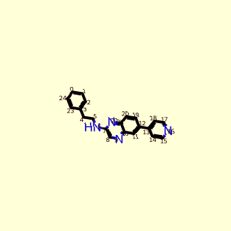 c1ccc(CCNc2cnc3cc(-c4ccncc4)ccc3n2)cc1